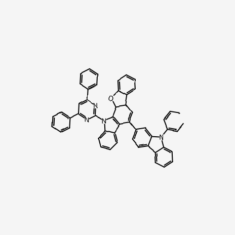 C/C=C\C(=C/C)n1c2ccccc2c2ccc(C3=CC4c5ccccc5OC4c4c3c3ccccc3n4-c3nc(-c4ccccc4)cc(-c4ccccc4)n3)cc21